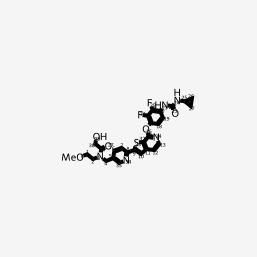 COCCN(Cc1ccc(-c2cc3ccnc(Oc4ccc(NC(=O)NC5CC5)c(F)c4F)c3s2)nc1)C(=O)CO